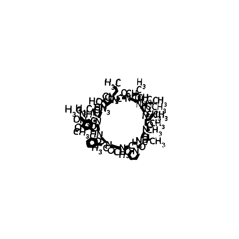 CCCCN1CC(=O)N(C)[C@@H](CC(C)C)C(=O)N[C@@H](COC(C)(C)C)C(=O)N(C)C([C@@H](C)CC)C(=O)N(C)[C@@H](CC(C)C)C(=O)N[C@H](C(=O)N2CCCCC2)CC(=O)N[C@H](C)C(=O)N(C)[C@@H](Cc2ccccc2)C(=O)N[C@@H](Cc2ccc(C(=O)NC)c(OC)c2)C(=O)N(C)[C@@H](CC(C)C)C(=O)N[C@@H]([C@@H](C)O)C1=O